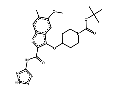 COc1cc2c(OC3CCN(C(=O)OC(C)(C)C)CC3)c(C(=O)Nc3nn[nH]n3)sc2cc1F